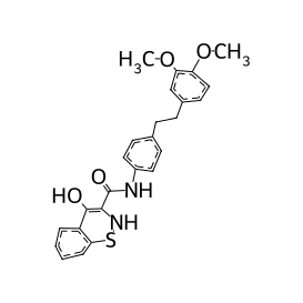 COc1ccc(CCc2ccc(NC(=O)C3=C(O)c4ccccc4SN3)cc2)cc1OC